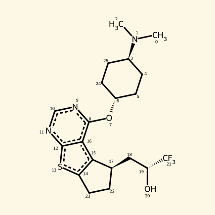 CN(C)[C@H]1CC[C@H](Oc2ncnc3sc4c(c23)[C@@H](C[C@@H](O)C(F)(F)F)CC4)CC1